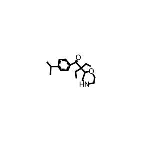 CCC(CC)(C(=O)c1ccc(C(C)C)cc1)C1CNCCO1